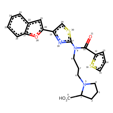 O=C(O)C1CCCN1CCCN(C(=O)c1cccs1)c1nc(-c2cc3ccccc3o2)cs1